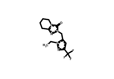 CCn1nc(C(F)(F)F)cc1Cn1nc2n(c1=O)CCCC2